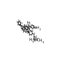 C[As](C)CCCC1CCN(Nc2nc(N[C@H]3CC[C@H](N)CC3)nc3c2ncn3C2CCCC2)CC1